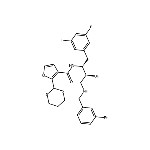 CCc1cccc(CNC[C@H](O)[C@H](Cc2cc(F)cc(F)c2)NC(=O)c2ccoc2C2SCCCS2)c1